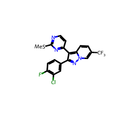 CSc1nccc(-c2c(-c3ccc(F)c(Cl)c3)nn3cc(C(F)(F)F)ccc23)n1